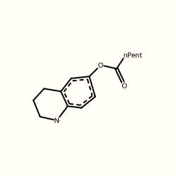 CCCCCC(=O)Oc1ccc2c(c1)CCC[N]2